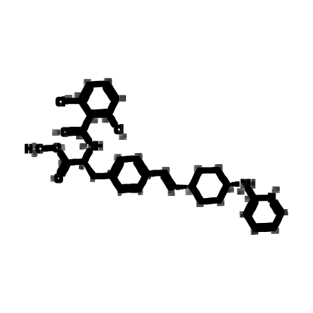 COC(=O)[C@H](Cc1ccc(/C=C/[C@H]2CC[C@@H](Nc3ccccn3)CC2)cc1)NC(=O)c1c(Cl)cccc1Cl